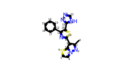 Cc1nn2ccsc2c1-c1nc(-c2ccccc2)c(-c2nnc[nH]2)s1